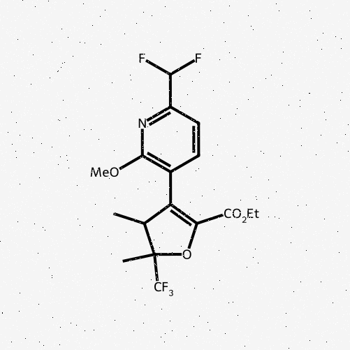 CCOC(=O)C1=C(c2ccc(C(F)F)nc2OC)C(C)C(C)(C(F)(F)F)O1